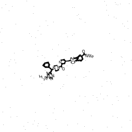 CNC(=O)c1ccc2oc(-c3ccnc(C(=O)N4CCN(C(c5ccccc5)c5nnn(C)n5)CC4)c3)nc2c1